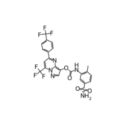 Cc1ccc(S(N)(=O)=O)cc1NC(=O)Oc1cnn2c(C(F)(F)F)cc(-c3ccc(C(F)(F)F)cc3)nc12